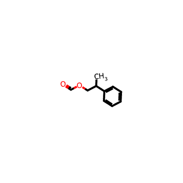 CC(COC=O)c1ccccc1